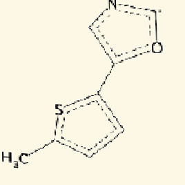 Cc1ccc(-c2cn[c]o2)s1